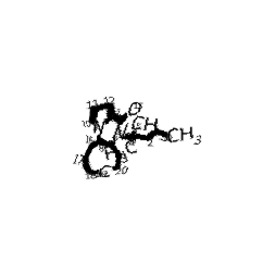 CCCC(C)(C)n1c2c(n3cccc3c1=O)CCCCCC2